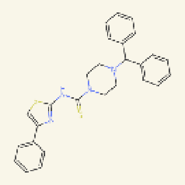 S=C(Nc1nc(-c2ccccc2)cs1)N1CCN(C(c2ccccc2)c2ccccc2)CC1